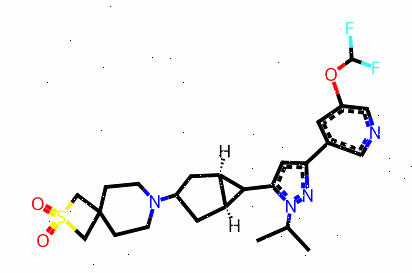 CC(C)n1nc(-c2cncc(OC(F)F)c2)cc1C1[C@H]2CC(N3CCC4(CC3)CS(=O)(=O)C4)C[C@@H]12